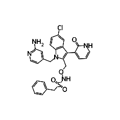 Nc1cc(Cn2c(CONS(=O)(=O)Cc3ccccc3)c(-c3ccc[nH]c3=O)c3cc(Cl)ccc32)ccn1